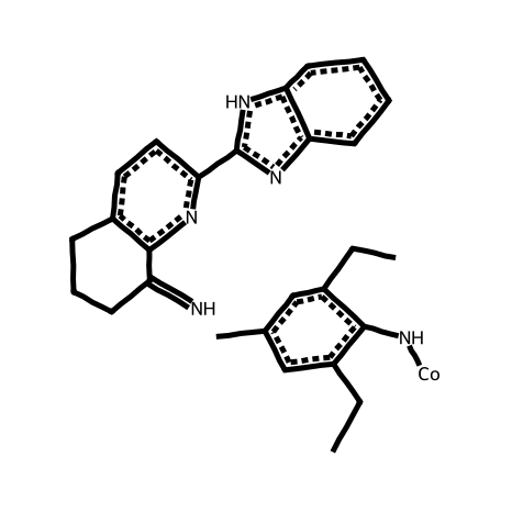 CCc1cc(C)cc(CC)c1[NH][Co].N=C1CCCc2ccc(-c3nc4ccccc4[nH]3)nc21